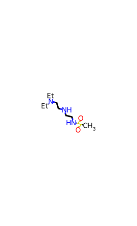 CCN(CC)CCNCCNS(C)(=O)=O